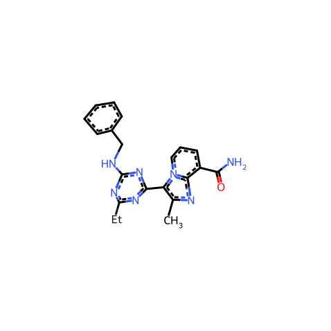 CCc1nc(NCc2ccccc2)nc(-c2c(C)nc3c(C(N)=O)cccn23)n1